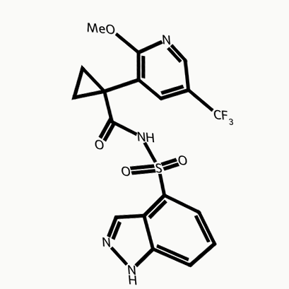 COc1ncc(C(F)(F)F)cc1C1(C(=O)NS(=O)(=O)c2cccc3[nH]ncc23)CC1